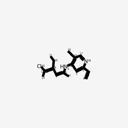 C=Cc1cc(N/C(C)=C\C(CC)=C(/C)Cl)c(C)cn1